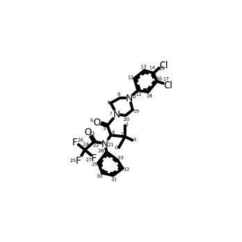 CC(C)(C)C(C(=O)N1CCN(c2ccc(Cl)c(Cl)c2)CC1)N(C(=O)C(F)(F)F)c1ccccc1